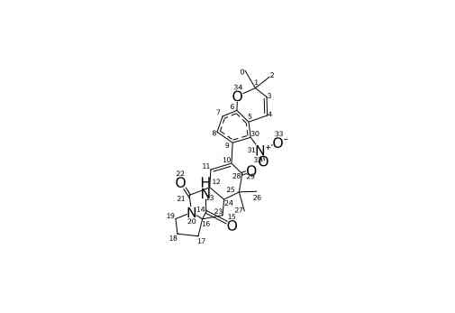 CC1(C)C=Cc2c(ccc(C3=CC45NC(=O)C6(CCCN6C4=O)CC5C(C)(C)C3=O)c2[N+](=O)[O-])O1